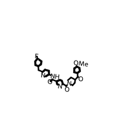 COc1ccc(C(=O)C2CCN(C(=O)c3ccc(C(=O)Nc4ccc(Cc5ccc(F)cc5)nc4)cn3)CC2)cc1